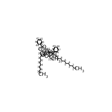 CCCCCCCCCCCOC(OC(CC)OP(=O)(O)OC(CC)OC(OCCCCCCCCCCC)c1ccccc1)c1ccccc1